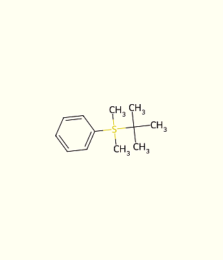 CC(C)(C)S(C)(C)c1ccccc1